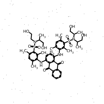 Cc1cc(C)c(S(=O)(=O)N(CCO)C(C)CO)c(C)c1Nc1ccc(Nc2c(C)cc(C)c(S(=O)(=O)N(C(C)CO)C(C)CO)c2C)c2c1C(=O)c1ccccc1C2=O